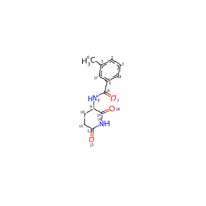 Cc1cccc(C(=O)NC2CCC(=O)NC2=O)c1